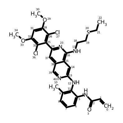 C=CC(=O)Nc1cccc(C)c1Nc1cc2c(NCCSCC)nc(-c3c(Cl)c(OC)cc(OC)c3Cl)cc2cn1